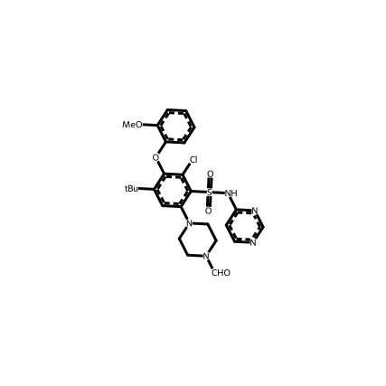 COc1ccccc1Oc1c(C(C)(C)C)cc(N2CCN(C=O)CC2)c(S(=O)(=O)Nc2ccncn2)c1Cl